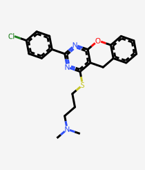 CN(C)CCCSc1nc(-c2ccc(Cl)cc2)nc2c1Cc1ccccc1O2